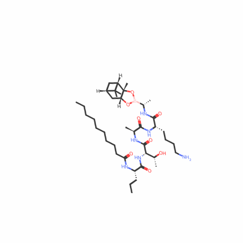 CCCCCCCCCC(=O)N[C@@H](CCC)C(=O)N[C@H](C(=O)N[C@@H](C)C(=O)N[C@@H](CCCCN)C(=O)N[C@@H](C)B1O[C@@H]2C[C@@H]3C[C@@H](C3(C)C)[C@]2(C)O1)[C@@H](C)O